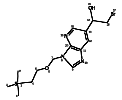 C[Si](C)(C)CCOCn1cnc2cc(C(O)CBr)cnc21